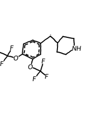 FC(F)(F)Oc1ccc([CH]C2CCNCC2)cc1OC(F)(F)F